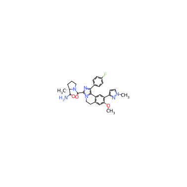 COc1cc2c(cc1-c1ccn(C)n1)-c1c(-c3ccc(F)cc3)nc(C(=O)N3CCC[C@]3(C)C(N)=O)n1CC2